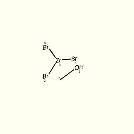 CO.[Br][Zr]([Br])[Br]